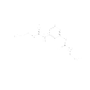 CCCCCCCCCCCNC(=O)Nc1cccc(NC(=O)NCCCCCCCCCCC)c1